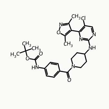 Cc1noc(C)c1-c1nc(NC2CCN(C(=O)c3ccc(NC(=O)OC(C)(C)C)cc3)CC2)ncc1Cl